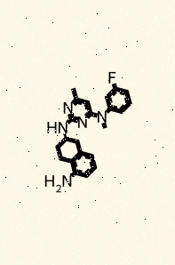 Cc1cc(N(C)c2cccc(F)c2)nc(N[C@@H]2CCc3c(N)cccc3C2)n1